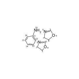 C1=NCCO1.C1=NCCO1.Nc1ccccc1